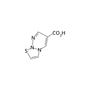 O=C(O)C1=CN2C=CSN2N=C1